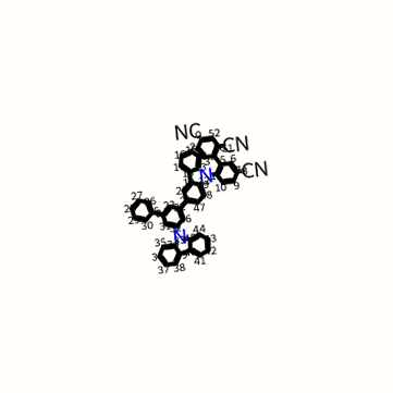 N#Cc1ccc(-c2cc(C#N)ccc2-n2c3ccccc3c3cc(-c4cc(-c5ccccc5)cc(-n5c6ccccc6c6ccccc65)c4)ccc32)c(C#N)c1